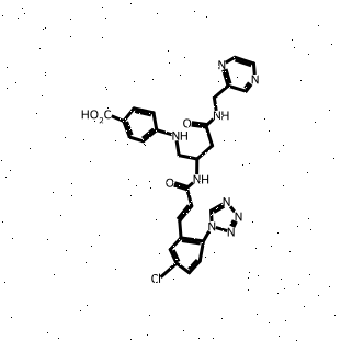 O=C(/C=C/c1cc(Cl)ccc1-n1cnnn1)NC(CNc1ccc(C(=O)O)cc1)CC(=O)NCc1cnccn1